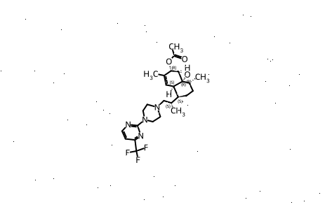 CC(=O)O[C@@H]1[C][C@@]2(O)[C@H](C)CC[C@@H]([C@H](C)CN3CCN(c4nccc(C(F)(F)F)n4)CC3)[C@H]2C=C1C